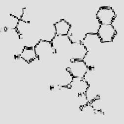 COC(=O)[C@H](CNS(C)(=O)=O)NC(=O)CN(Cc1cccc2ccccc12)C[C@@H]1CCCN1C(=O)Cc1c[nH]cn1.O=C(O)C(F)(F)F